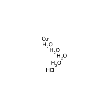 Cl.O.O.O.O.[Cu]